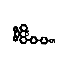 CC12CC=CC=C1C1(C3=C(O2)C(c2ccc(-c4ccc(C#N)cc4)cc2)CC=C3)c2ccccc2-c2ccccc21